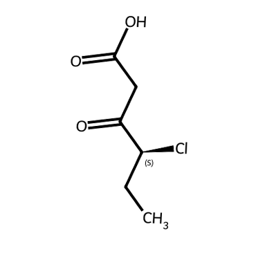 CC[C@H](Cl)C(=O)CC(=O)O